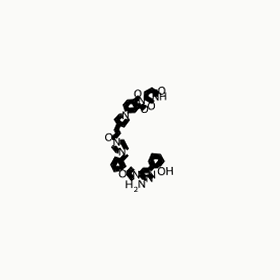 Nc1nnc(-c2ccccc2O)cc1N1CC(Oc2cccc(CN3CCN(C(=O)CCC4CCN(c5ccc6c(c5)C(=O)N([C@@H]5CCC(=O)NC5=O)C6=O)CC4)CC3)c2)C1